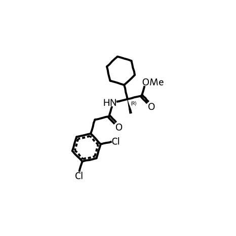 COC(=O)[C@](C)(NC(=O)Cc1ccc(Cl)cc1Cl)C1CCCCC1